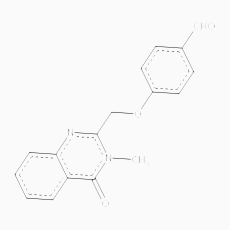 Cn1c(COc2ccc(C=O)cc2)nc2ccccc2c1=O